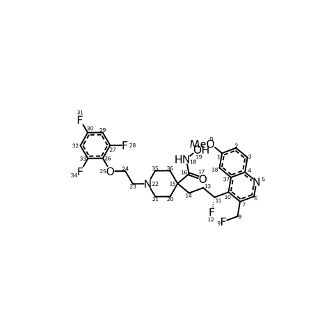 COc1ccc2ncc(CF)c([C@H](F)CCC3(C(=O)NO)CCN(CCOc4c(F)cc(F)cc4F)CC3)c2c1